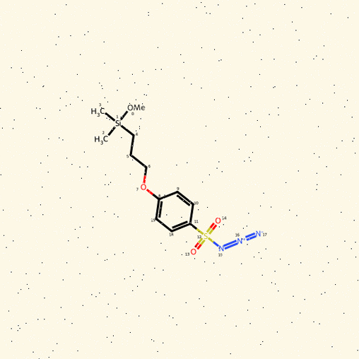 CO[Si](C)(C)CCCOc1ccc(S(=O)(=O)N=[N+]=[N-])cc1